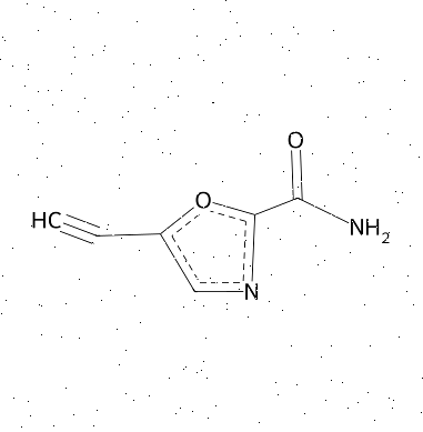 C#Cc1cnc(C(N)=O)o1